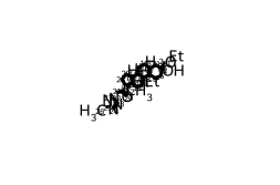 CCOC[C@@]1(O)CCC2(CC)[C@@H](CC[C@@H]3[C@@H]2CC[C@]2(C)[C@@H](C(=O)Cn4nnc(C)n4)CC[C@@H]32)C1